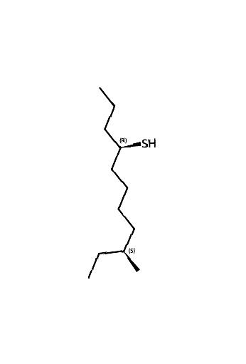 CCC[C@@H](S)CCCC[C@@H](C)CC